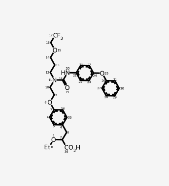 CCOC(Cc1ccc(OCCN(CCCOCC(F)(F)F)C(=O)Nc2ccc(Oc3ccccc3)cc2)cc1)C(=O)O